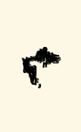 O=C(NCc1cc(C(F)(F)F)ccn1)c1nnc(CCCCc2nnc(C(=O)NCc3cccc(F)n3)s2)s1